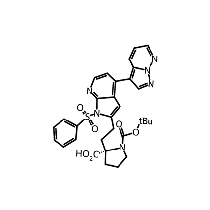 CC(C)(C)OC(=O)N1CCC[C@]1(CCc1cc2c(-c3cnn4ncccc34)ccnc2n1S(=O)(=O)c1ccccc1)C(=O)O